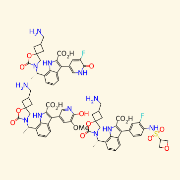 COc1cc(-c2c(C(=O)O)[nH]c3c([C@H](C)N4CC5(CC(CN)C5)OC4=O)cccc23)cnc1O.C[C@@H](c1cccc2c(-c3c[nH]c(=O)c(F)c3)c(C(=O)O)[nH]c12)N1CC2(CC(CN)C2)OC1=O.C[C@@H](c1cccc2c(-c3ccc(NS(=O)(=O)C4COC4)c(F)c3)c(C(=O)O)[nH]c12)N1CC2(CC(CN)C2)OC1=O